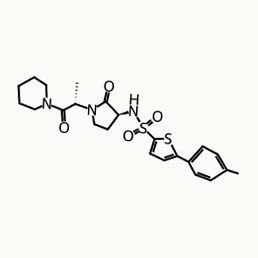 Cc1ccc(-c2ccc(S(=O)(=O)N[C@H]3CCN([C@@H](C)C(=O)N4CCCCC4)C3=O)s2)cc1